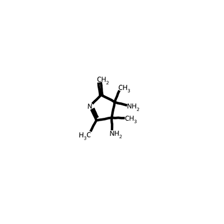 C=C1N=C(C)C(C)(N)C1(C)N